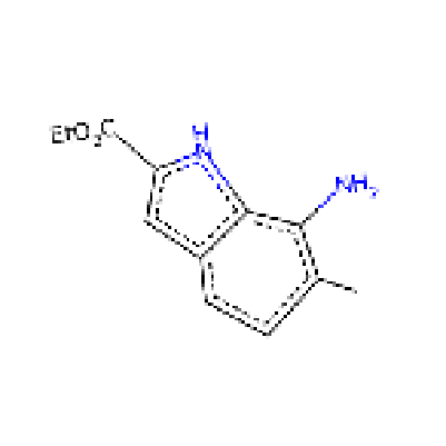 CCOC(=O)c1cc2ccc(C)c(N)c2[nH]1